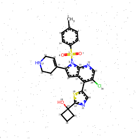 Cc1ccc(S(=O)(=O)n2c(C3=CCNCC3)cc3c(-c4cnc(C5(O)CCC5)s4)c(Cl)cnc32)cc1